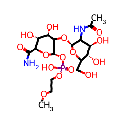 COCCOP(=O)(O)O[C@H]1OC(C(N)=O)[C@H](O)[C@H](O)C1O[C@@H]1OC(CO)[C@@H](O)[C@H](O)C1NC(C)=O